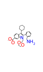 COC(=O)c1ccc2c(C3CCCCC3)c(-c3ccccc3CN)n(CC3OCCO3)c2c1